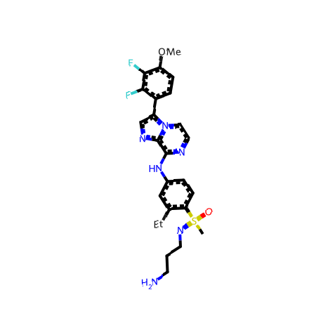 CCc1cc(Nc2nccn3c(-c4ccc(OC)c(F)c4F)cnc23)ccc1S(C)(=O)=NCCCN